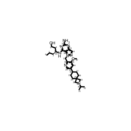 CCC[C@@H](CCO)Nc1nc(N)nc2cnn(Cc3ncc(C4CCC5(CC4)CN(C(C)C)C5)cc3OC)c12